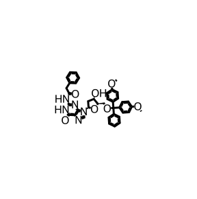 COc1ccc(C(OC[C@H]2O[C@@H](n3cnc4c(=O)[nH]c(NC(=O)Cc5ccccc5)nc43)C[C@@H]2O)(c2ccccc2)c2ccc(OC)cc2)cc1